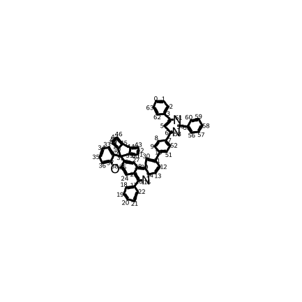 c1ccc(-c2cc(-c3ccc(-c4ccc5nc(-c6ccccc6)c6cc7c(cc6c5c4)C4(c5ccccc5O7)c5ccccc5-c5ccccc54)cc3)nc(-c3ccccc3)n2)cc1